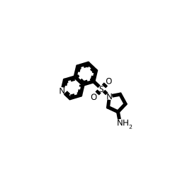 NC1CCN(S(=O)(=O)c2cccc3cnccc23)C1